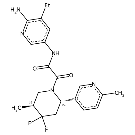 CCc1cc(NC(=O)C(=O)N2C[C@H](C)C(F)(F)C[C@H]2c2ccc(C)nc2)cnc1N